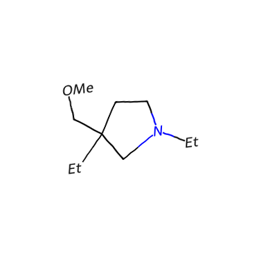 CCN1CCC(CC)(COC)C1